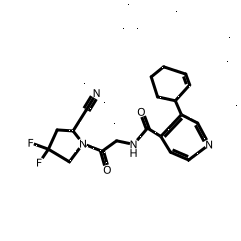 N#CC1CC(F)(F)CN1C(=O)CNC(=O)c1ccncc1C1C=CCCC1